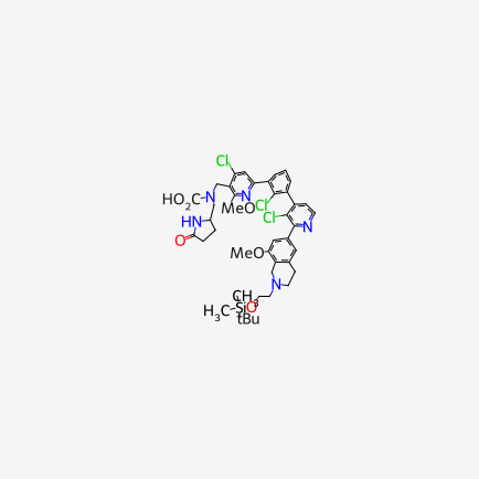 COc1cc(-c2nccc(-c3cccc(-c4cc(Cl)c(CN(CC5CCC(=O)N5)C(=O)O)c(OC)n4)c3Cl)c2Cl)cc2c1CN(CCO[Si](C)(C)C(C)(C)C)CC2